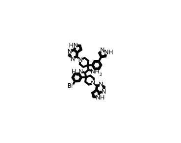 NC(C(N)C1(c2cccc(-c3cn[nH]c3)c2)CCN(c2ncnc3[nH]ccc23)CC1)C1(c2cccc(Br)c2)CCN(c2ncnc3[nH]ccc23)CC1